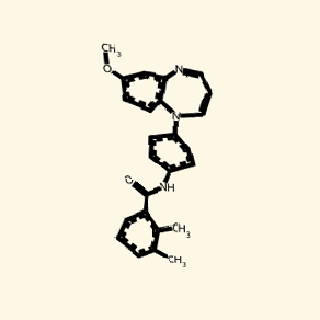 COc1ccc2c(c1)N=CC=CN2c1ccc(NC(=O)c2cccc(C)c2C)cc1